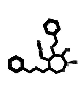 [N-]=[N+]=NC1C(COCc2ccccc2)CO[C@@H](O)C(O)C1OCc1ccccc1